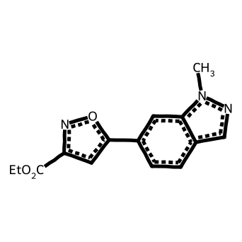 CCOC(=O)c1cc(-c2ccc3cnn(C)c3c2)on1